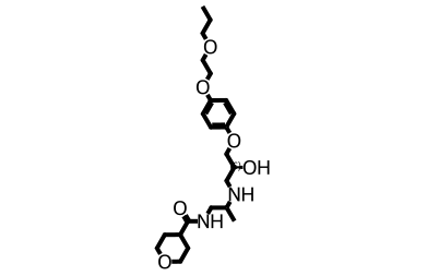 CCCOCCOc1ccc(OC[C@@H](O)CNC(C)CNC(=O)C2CCOCC2)cc1